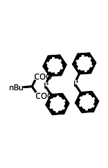 CCCCC(C(=O)[O-])C(=O)[O-].c1ccc([I+]c2ccccc2)cc1.c1ccc([I+]c2ccccc2)cc1